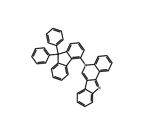 c1ccc(C2(c3ccccc3)c3ccccc3-c3c(-n4cc5c6ccccc6nc-5c5ccccc54)cccc32)cc1